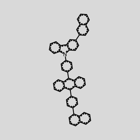 c1ccc2cc(-c3ccc4c(c3)c3ccccc3n4-c3ccc(-c4c5ccccc5c(-c5ccc(-c6cccc7ccccc67)cc5)c5ccccc45)cc3)ccc2c1